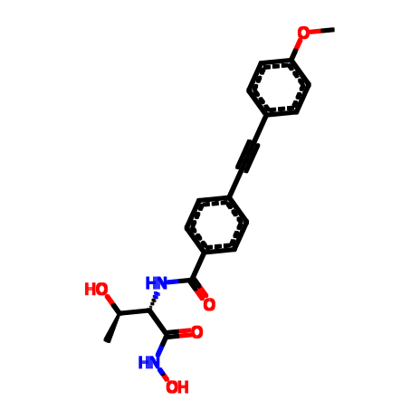 COc1ccc(C#Cc2ccc(C(=O)N[C@H](C(=O)NO)[C@@H](C)O)cc2)cc1